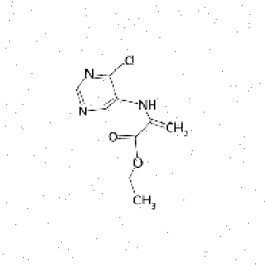 C=C(Nc1cncnc1Cl)C(=O)OCC